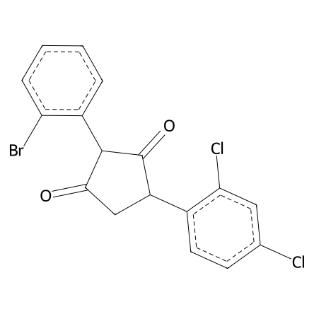 O=C1CC(c2ccc(Cl)cc2Cl)C(=O)C1c1ccccc1Br